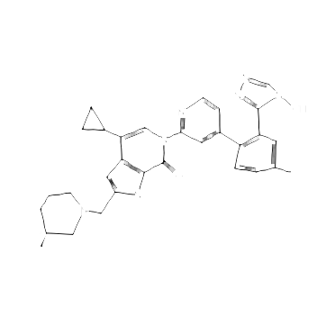 C[C@H]1CCCN(Cc2cc3c(C4CC4)cn(-c4cc(-c5ccc(F)cc5-c5nncn5C)ccn4)c(=O)c3[nH]2)C1